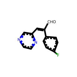 O=CC(=Cc1cnccn1)c1ccc(F)cc1